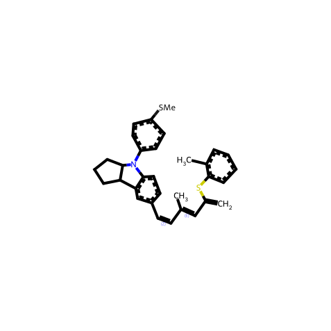 C=C(/C=C(C)/C=C\c1ccc2c(c1)C1CCCC1N2c1ccc(SC)cc1)Sc1ccccc1C